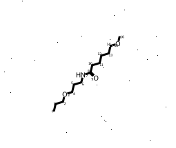 CCCOCCCNC(=O)CCCCCOC